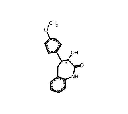 COc1ccc(C2Cc3ccccc3NC(=O)[C@@H]2O)cc1